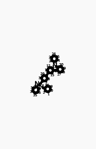 c1ccc(-n2c(-c3ccc(-c4ccc5c(c4)c4ccccc4n5-c4ccccc4)cc3)nc3ccccc32)cc1